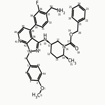 COc1ccc(Cn2nc(N[C@@H]3CC[C@H](C)N(C(=O)OCc4ccccc4)C3)c3c(-c4ccc(CN)c(F)c4)ccnc32)cc1